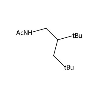 CC(=O)NCC(CC(C)(C)C)C(C)(C)C